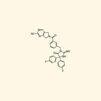 N#Cc1ncc2c(n1)CN(C(=O)c1cccc(CN3C(=N)NC(c4ccc(F)cc4)(c4ccc(F)cc4)C3=O)c1)C2